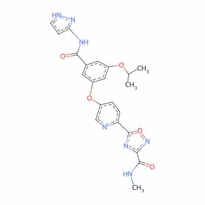 CNC(=O)c1noc(-c2ccc(Oc3cc(OC(C)C)cc(C(=O)Nc4cc[nH]n4)c3)cn2)n1